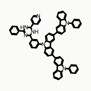 c1ccc(C2=NC(c3cccc(-n4c5ccc(-c6ccc7c(c6)c6ccccc6n7-c6ccccc6)cc5c5cc(-c6ccc7c(c6)c6ccccc6n7-c6ccccc6)ccc54)c3)NC(c3ccncc3)N2)cc1